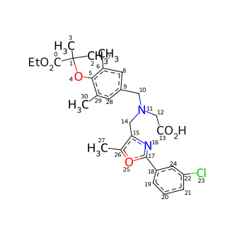 CCOC(=O)C(C)(C)Oc1c(C)cc(CN(CC(=O)O)Cc2nc(-c3cccc(Cl)c3)oc2C)cc1C